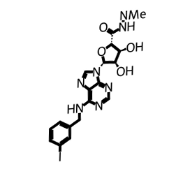 CNNC(=O)[C@H]1O[C@@H](n2cnc3c(NCc4cccc(I)c4)ncnc32)[C@H](O)[C@@H]1O